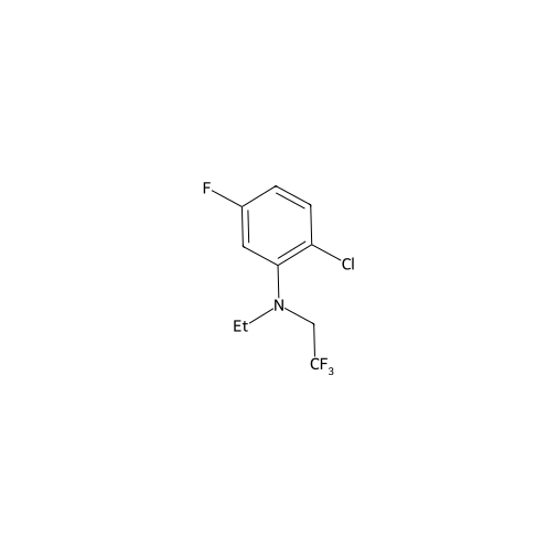 CCN(CC(F)(F)F)c1cc(F)ccc1Cl